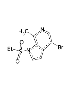 CCS(=O)(=O)n1ccc2c(Br)cnc(C)c21